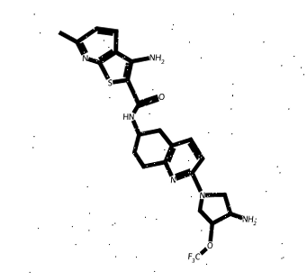 Cc1ccc2c(N)c(C(=O)NC3CCc4nc(N5CC(N)C(OC(F)(F)F)C5)ccc4C3)sc2n1